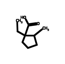 CCC1(C(=O)O)CCCC1C